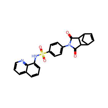 O=C1C2C3C=CC(C3)C2C(=O)N1c1ccc(S(=O)(=O)Nc2cccc3cccnc23)cc1